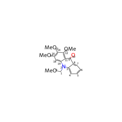 COCn1c2ccccc2c(=O)c2c(OC)c(OC)c(OC)cc21